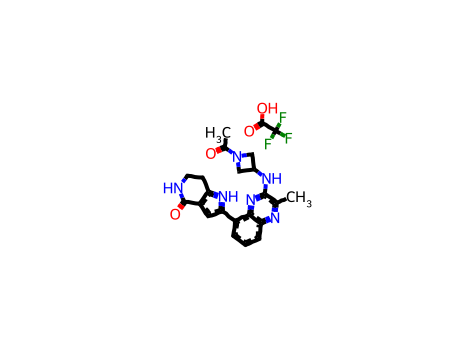 CC(=O)N1CC(Nc2nc3c(-c4cc5c([nH]4)CCNC5=O)cccc3nc2C)C1.O=C(O)C(F)(F)F